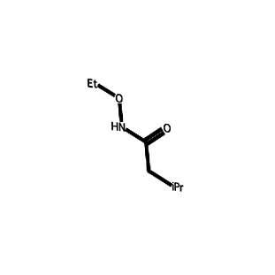 CCONC(=O)CC(C)C